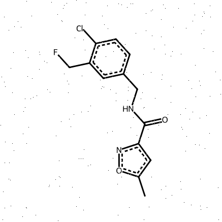 Cc1cc(C(=O)NCc2ccc(Cl)c(CF)c2)no1